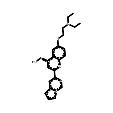 CCN(CC)CCOc1ccc2oc(-c3cc4cccn4cn3)c/c(=N\O)c2c1